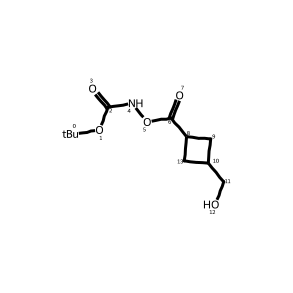 CC(C)(C)OC(=O)NOC(=O)C1CC(CO)C1